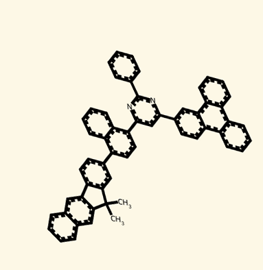 CC1(C)c2cc(-c3ccc(-c4cc(-c5ccc6c7ccccc7c7ccccc7c6c5)nc(-c5ccccc5)n4)c4ccccc34)ccc2-c2cc3ccccc3cc21